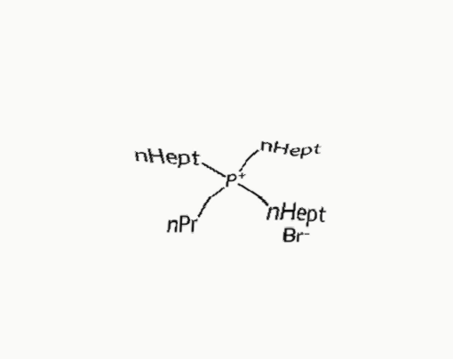 CCCCCCC[P+](CCC)(CCCCCCC)CCCCCCC.[Br-]